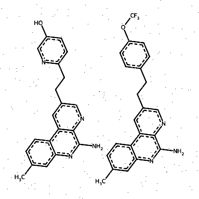 Cc1ccc2c(c1)nc(N)c1ncc(CCc3ccc(O)cn3)cc12.Cc1ccc2c(c1)nc(N)c1ncc(CCc3ccc(OC(F)(F)F)cc3)cc12